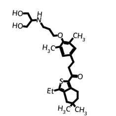 CCc1sc(C(=O)CCc2cc(C)c(OCCCNC(CO)CO)c(C)c2)c2c1CC(C)(C)CC2